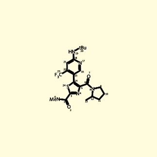 CNC(=O)c1nc(C(=O)N2CCCC2C)c(-c2cnc(NC(C)(C)C)cc2C(F)(F)F)s1